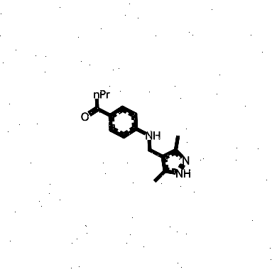 CCCC(=O)c1ccc(NCc2c(C)n[nH]c2C)cc1